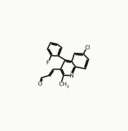 Cc1nc2ccc(Cl)cc2c(-c2ccccc2F)c1/C=C/C=O